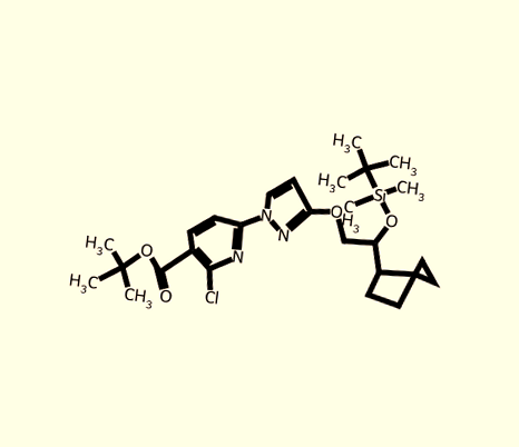 CC(C)(C)OC(=O)c1ccc(-n2ccc(OCC(O[Si](C)(C)C(C)(C)C)C3CCC34CC4)n2)nc1Cl